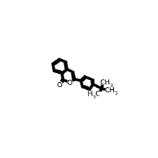 CC(C)(C)c1ccc(-c2cc3ccccc3c(=O)o2)cc1